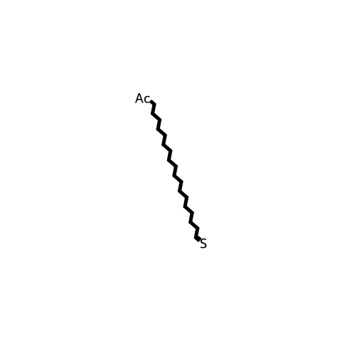 CC(=O)CCCCCCCCCCCCCCCCCC=S